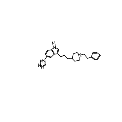 c1ccc(CCN2CCC(CCCc3c[nH]c4ccc(-n5cnnc5)cc34)CC2)cc1